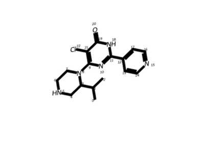 CC(C)C1CNCCN1c1nc(-c2ccncc2)[nH]c(=O)c1Cl